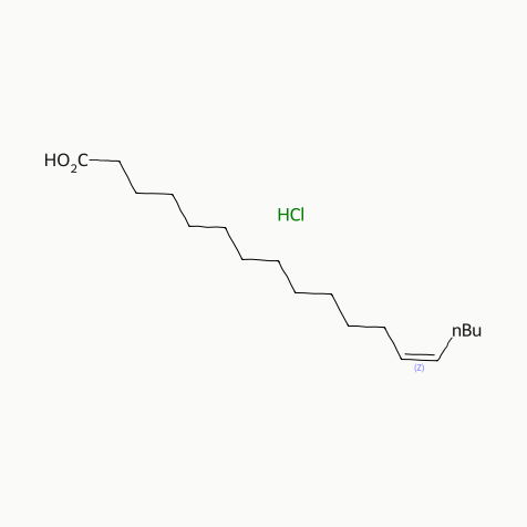 CCCC/C=C\CCCCCCCCCCCC(=O)O.Cl